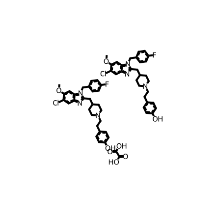 COc1cc2c(cc1Cl)nc(CC1CCN(CCc3ccc(O)cc3)CC1)n2Cc1ccc(F)cc1.COc1cc2c(cc1Cl)nc(CC1CCN(CCc3ccc(O)cc3)CC1)n2Cc1ccc(F)cc1.O=C(O)C(=O)O